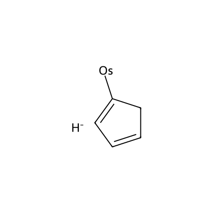 [H-].[Os][C]1=CC=CC1